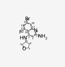 Nc1cc(NC2CCOC2)c2c(F)cc(Br)cc2n1